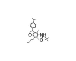 CCCCc1c(C)c(NC(=O)CC(C)(C)C)c(C)c2c1OCC2c1ccc(C(C)C)cc1